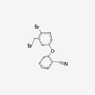 N#Cc1ccccc1Oc1ccc(Br)c(CBr)c1